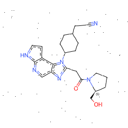 N#CCC1CCC(n2c(CC(=O)N3CCC[C@H]3CO)nc3cnc4[nH]ccc4c32)CC1